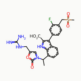 CC(c1cccc2c(-c3ccc(CS(C)(=O)=O)c(F)c3)c(C(=O)O)[nH]c12)n1cc(CNC(=N)N)oc1=O